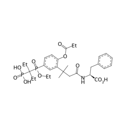 CCOP(=O)(c1ccc(OC(=O)CC)c(C(C)(C)CC(=O)N[C@@H](Cc2ccccc2)C(=O)O)c1)C(CC)(CC)P(=O)(O)O